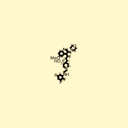 COc1ccc2ncc(CN3CCOCC3)c([C@H](F)CCC3(C(=O)O)CCN(CCNc4cc(F)cc(F)c4F)CC3)c2c1